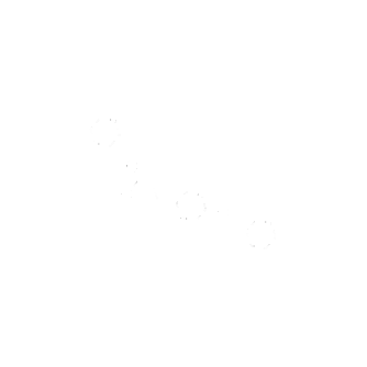 O=C(/C=C/c1ccc(OCc2ccccc2)cc1)OCc1ccccc1